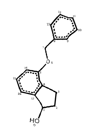 OC1CCc2c(OCc3ccccc3)cccc21